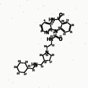 O=C1Nc2cccnc2N(C(=O)NCCN2CCC(CNCC3CCCCC3)C2)c2ccccc21